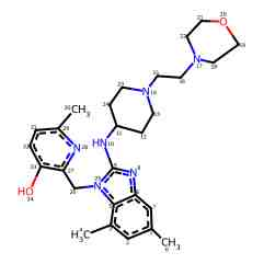 Cc1cc(C)c2c(c1)nc(NC1CCN(CCN3CCOCC3)CC1)n2Cc1nc(C)ccc1O